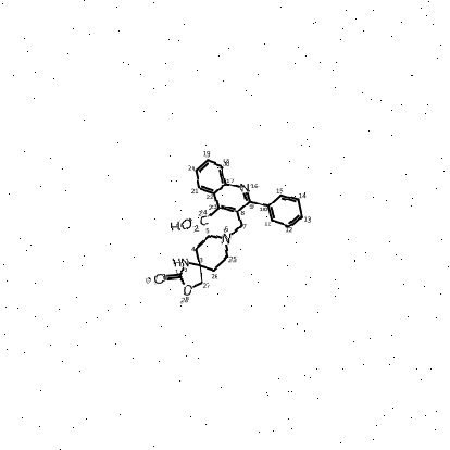 O=C1NC2(CCN(Cc3c(-c4ccccc4)nc4ccccc4c3C(=O)O)CC2)CO1